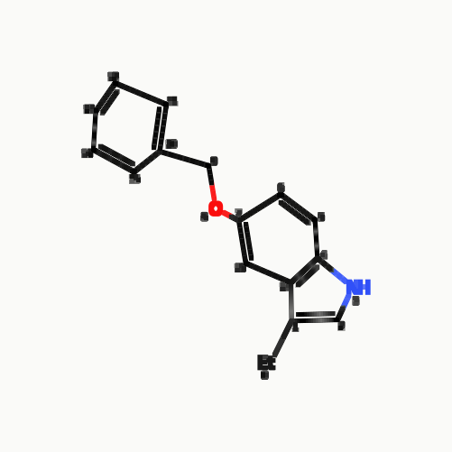 [CH2]Cc1c[nH]c2ccc(OCc3ccccc3)cc12